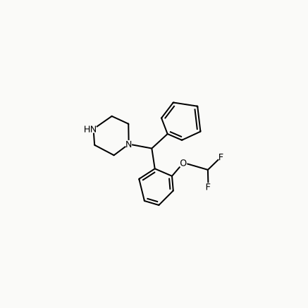 FC(F)Oc1ccccc1C(c1ccccc1)N1CCNCC1